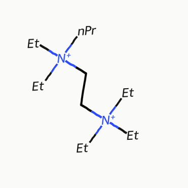 CCC[N+](CC)(CC)CC[N+](CC)(CC)CC